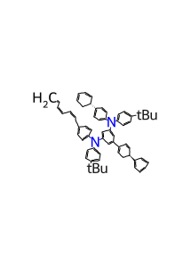 C=C/C=C\C=C/Cc1ccc(N(c2ccc(C(C)(C)C)cc2)c2cc(C3=CC[C@H](c4ccccc4)C=C3)cc(N(c3ccc([C@H]4C=CC=CC4)cc3)c3ccc(C(C)(C)C)cc3)c2)cc1